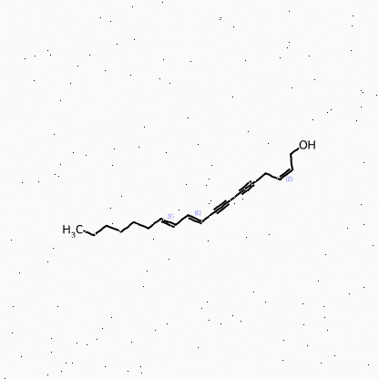 CCCCCC/C=C/C=C/C#CC#CC/C=C\CO